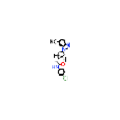 CC(C(=O)Nc1ccc(Cl)cc1)[C@@H]1[C@@H]2C[C@@H](n3cnc4ccc(C#N)cc43)C[C@@H]21